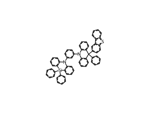 c1ccc(C2(c3ccc4sc5ccccc5c4c3)c3ccccc3N(c3cccc(N4c5ccccc5[Si](c5ccccc5)(c5ccccc5)c5ccccc54)c3)c3ccccc32)cc1